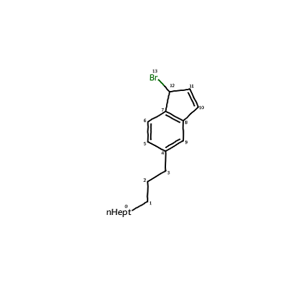 CCCCCCCCCCc1ccc2c(c1)C=CC2Br